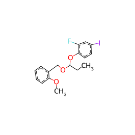 CCC(OCc1ccccc1OC)Oc1ccc(I)cc1F